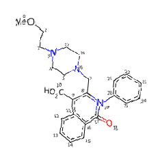 COCCN1CCN(Cc2c(C(=O)O)c3ccccc3c(=O)n2-c2ccccc2)CC1